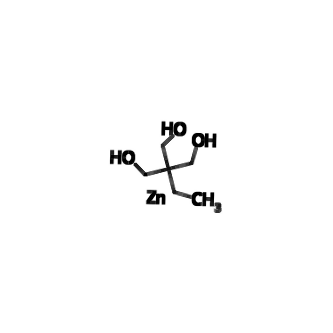 CCC(CO)(CO)CO.[Zn]